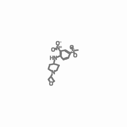 CS(=O)(=O)c1ccc(NC2CCN(C3COC3)CC2)c([N+](=O)[O-])c1